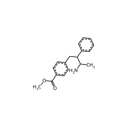 COC(=O)c1ccc(CC(c2ccccc2)C(C)N)cc1